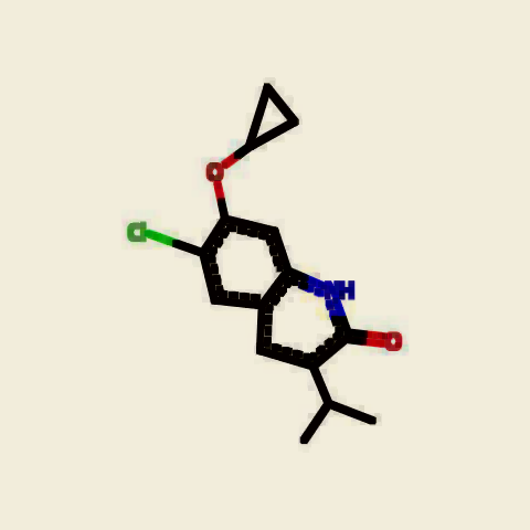 CC(C)c1cc2cc(Cl)c(OC3CC3)cc2[nH]c1=O